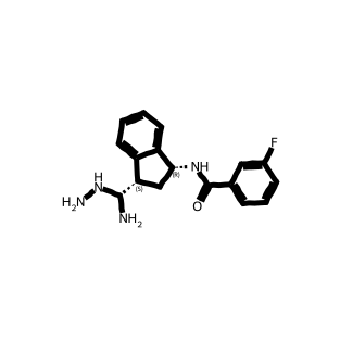 NNC(N)[C@H]1C[C@@H](NC(=O)c2cccc(F)c2)c2ccccc21